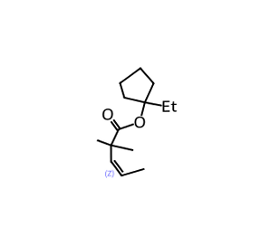 C/C=C\C(C)(C)C(=O)OC1(CC)CCCC1